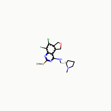 CCSc1nc(NC[C@@H]2CCCN2C)c2c3c(c(Br)c(F)c2n1)COC3